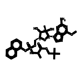 COc1nc(N)nc2c1ncn2[C@@H]1O[C@H](COP(=O)(NC(C)C(=O)OCC(C)(C)C)Oc2cccc3ccccc23)C(O)[C@]1(C)O